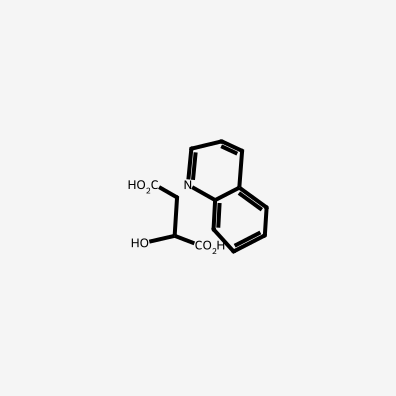 O=C(O)CC(O)C(=O)O.c1ccc2ncccc2c1